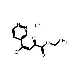 CCOC(=O)C(=O)/C=C(/[O-])c1ccnnc1.[Li+]